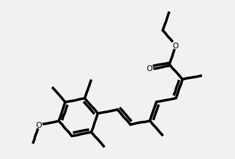 CCOC(=O)C(C)=CC=C(C)C=Cc1c(C)cc(OC)c(C)c1C